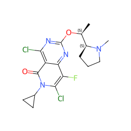 C[C@H](Oc1nc(Cl)c2c(=O)n(C3CC3)c(Cl)c(F)c2n1)[C@@H]1CCCN1C